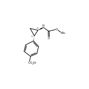 CCOC(=O)c1ccc([C@@H]2C[C@H]2NC(=O)OC(C)(C)C)cc1